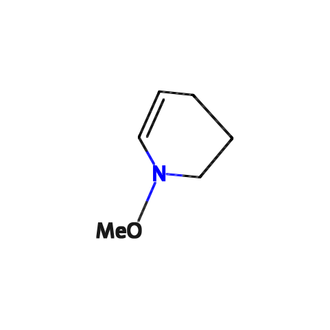 CON1C=CCCC1